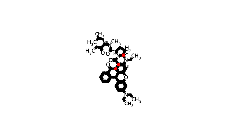 CCC(=O)[C@@H](CC(C)C)N(C)C(=O)[C@@H]1CCCN1C(=O)[C@H](C)OC(=O)c1ccccc1C1c2ccc(N(CC)CC)cc2Oc2cc(N(CC)CC)ccc21